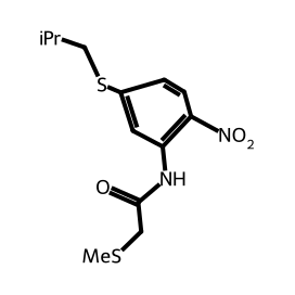 CSCC(=O)Nc1cc(SCC(C)C)ccc1[N+](=O)[O-]